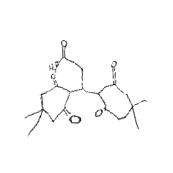 CC1(C)CC(=O)C(C(CC(=O)P)C2C(=O)CC(C)(C)CC2=O)C(=O)C1